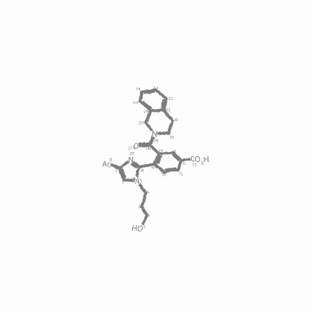 CC(=O)c1cn(CCCO)c(-c2ccc(C(=O)O)cc2C(=O)N2CCc3ccccc3C2)n1